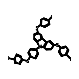 Ic1ccc(Sc2ccc([SH]3c4ccc(Sc5ccc(I)cc5)cc4-c4cc(Sc5ccc(I)cc5)ccc43)cc2)cc1